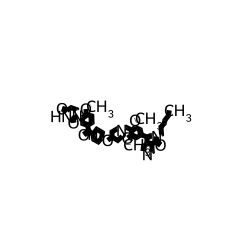 CCCCCCn1cc(-c2cc(OC)c(CN3CCC(OC4CCN(C(=O)c5ccc(OC)c(N6CCC(=O)NC6=O)c5)CC4)CC3)c(OC)c2)c2ccncc2c1=O